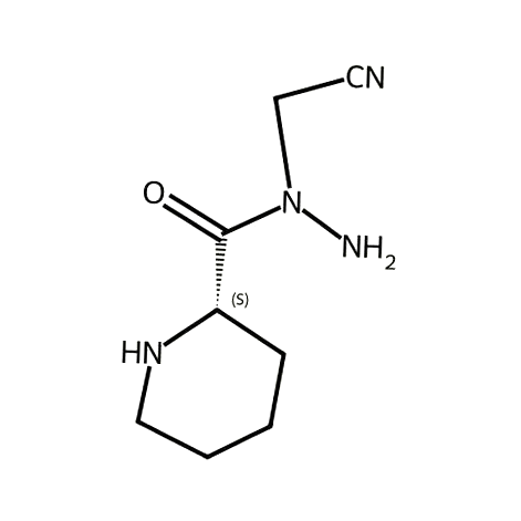 N#CCN(N)C(=O)[C@@H]1CCCCN1